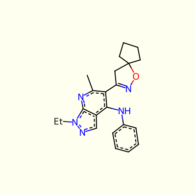 CCn1ncc2c(Nc3ccccc3)c(C3=NOC4(CCCC4)C3)c(C)nc21